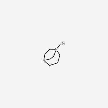 CC(C)(C)[N+]12CCCN(CC1)CC2